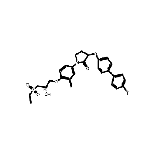 CCS(=O)(=O)C[C@@H](O)COc1ccc(N2CCC(Oc3ccc(-c4ccc(F)cc4)cc3)C2=O)cc1C